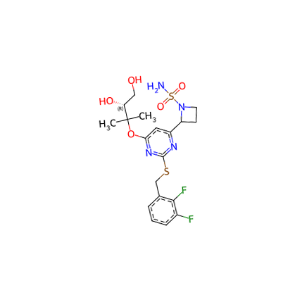 CC(C)(Oc1cc(C2CCN2S(N)(=O)=O)nc(SCc2cccc(F)c2F)n1)[C@H](O)CO